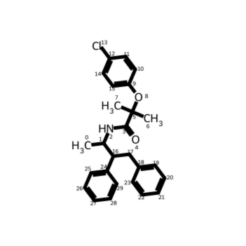 CC(NC(=O)C(C)(C)Oc1ccc(Cl)cc1)C(Cc1ccccc1)c1ccccc1